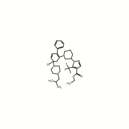 CCOC(=O)c1cnn(C2CCCN(C3=C(c4ccccc4)C=CC(Cl)(N4CCN(CC(C)C)CC4)C3)C2)c1C(F)(F)F